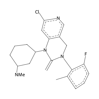 C=C1N(c2c(C)cccc2F)Cc2cnc(Cl)cc2N1C1CCCC(NC)C1